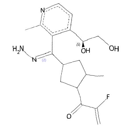 C=C(F)C(=O)C1CC(/C(=N/N)c2c([C@H](O)CO)ccnc2C)CC1C